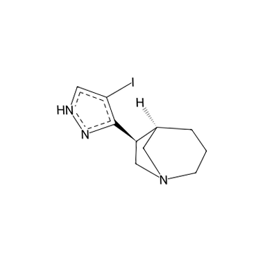 Ic1c[nH]nc1[C@@H]1CN2CCC[C@H]1C2